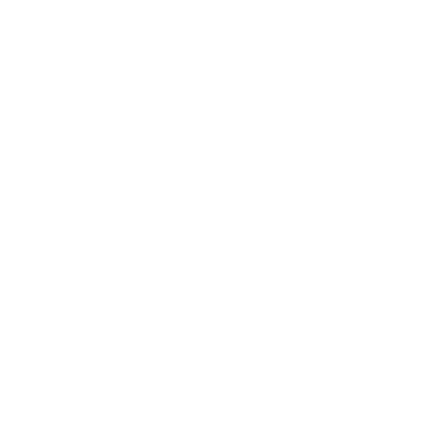 O=C(Cc1ccc(O)cc1)OC(c1ccccc1)c1ccccc1